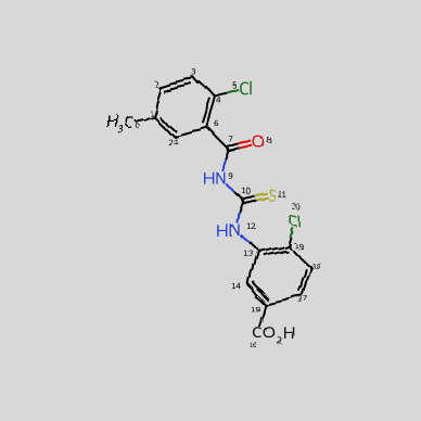 Cc1ccc(Cl)c(C(=O)NC(=S)Nc2cc(C(=O)O)ccc2Cl)c1